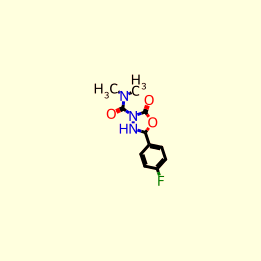 CN(C)C(=O)N1NC(c2ccc(F)cc2)OC1=O